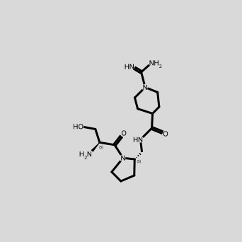 N=C(N)N1CCC(C(=O)NC[C@@H]2CCCN2C(=O)[C@@H](N)CO)CC1